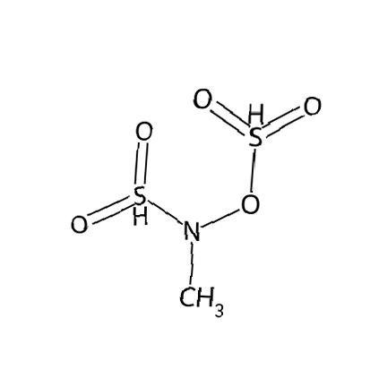 CN(O[SH](=O)=O)[SH](=O)=O